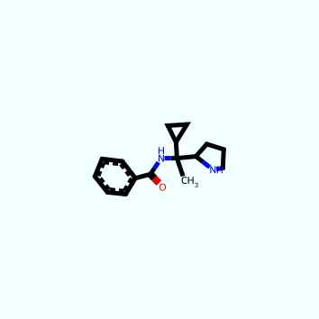 CC(NC(=O)c1ccccc1)(C1CC1)C1CCCN1